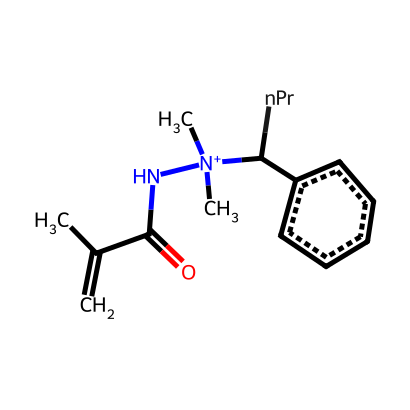 C=C(C)C(=O)N[N+](C)(C)C(CCC)c1ccccc1